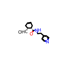 O=C[C@@H]1CC=CC[C@@H]1C(=O)NCCc1ccncc1